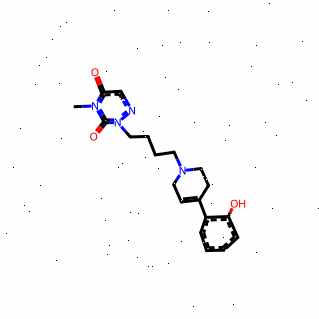 Cn1c(=O)cnn(CCCCN2CC=C(c3ccccc3O)CC2)c1=O